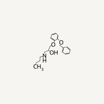 CCCCNCC(O)COc1ccccc1OCc1ccccc1